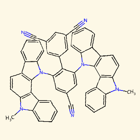 Cn1c2ccccc2c2c1ccc1c3ccccc3n(-c3cc(C#N)cc(-n4c5ccccc5c5ccc6c(c7ccccc7n6C)c54)c3-c3cc(C#N)cc(C#N)c3)c12